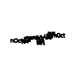 CCCCCCCCN=c1ccn(CCCCCCCCCCn2ccc(=NCCCCCCCC)cc2)cc1.[HH].[HH]